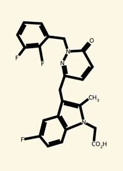 Cc1c(Cc2ccc(=O)n(Cc3cccc(F)c3F)n2)c2cc(F)ccc2n1CC(=O)O